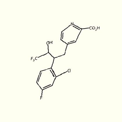 O=C(O)c1cc(CC(c2ccc(F)cc2Cl)C(O)C(F)(F)F)ccn1